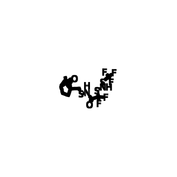 CC1(C)C2CCC1(CSNC(=O)C(F)(F)SNSC(F)(F)F)C(=O)C2